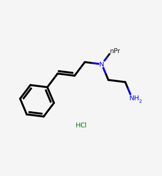 Cl.[CH2]CCN(CC=Cc1ccccc1)CCN